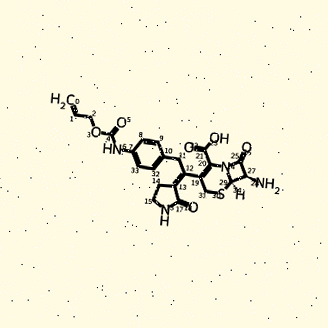 C=CCOC(=O)Nc1ccc(CC(=C2CCNC2=O)C2=C(C(=O)O)N3C(=O)[C@@H](N)[C@H]3SC2)cc1